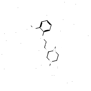 CC(C)Oc1ccccc1OCC[C@@H]1CN(C(=O)O)CCN1C(=O)O